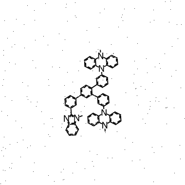 CN1c2ccccc2N(c2cccc(-c3ccc(-c4cccc(-c5nc6ccccc6n5C)c4)cc3-c3cccc(N4c5ccccc5N(C)c5ccccc54)c3)c2)c2ccccc21